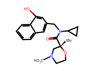 CC(C)(C)[C@]1(C(=O)N(Cc2cc(O)c3ccccc3c2)C2CC2)CN(C(=O)O)CCO1